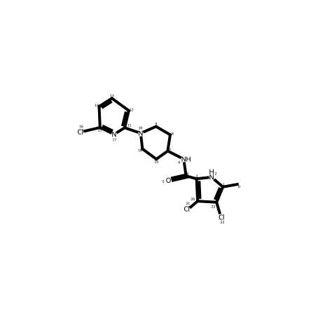 Cc1[nH]c(C(=O)NC2CCN(c3cccc(Cl)n3)CC2)c(Cl)c1Cl